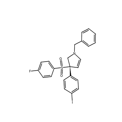 O=S(=O)(c1ccc(F)cc1)[C@@]1(c2ccc(I)cc2)C=CN(Cc2ccccc2)C1